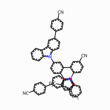 N#Cc1ccc(-c2ccc3c(c2)c2ccccc2n3-c2ccc(-c3ccc(C(F)(F)F)cc3C(F)(F)F)c(-c3cc(C#N)ccc3-n3c4ccccc4c4cc(-c5ccc(C#N)cc5)ccc43)c2)cc1